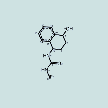 CC(C)NC(=O)NC1CCC(O)c2ccccc21